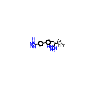 CCC[C@H](C(C)=O)[C@H](Cc1ccc(-c2ccc(-c3nnn[nH]3)cc2)cc1)c1nnn[nH]1